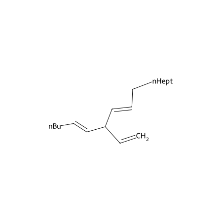 C=CC(C=CCCCC)C=CCCCCCCCC